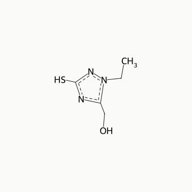 CCn1nc(S)nc1CO